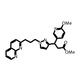 COC(=O)CC(c1ccc(OC)nc1)c1ccn(CCCc2ccc3cccnc3n2)n1